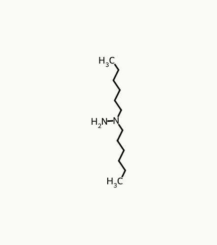 CCCCCCN(N)CCCCCC